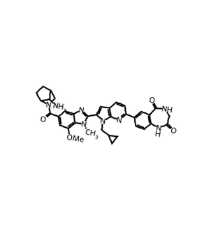 COc1cc(C(=O)N2CC3CCC2C3N)cc2nc(-c3cc4ccc(-c5ccc6c(c5)C(=O)NCC(=O)N6)nc4n3CC3CC3)n(C)c12